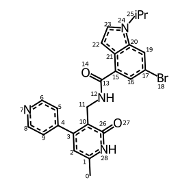 Cc1cc(-c2ccncc2)c(CNC(=O)c2cc(Br)cc3c2ccn3C(C)C)c(=O)[nH]1